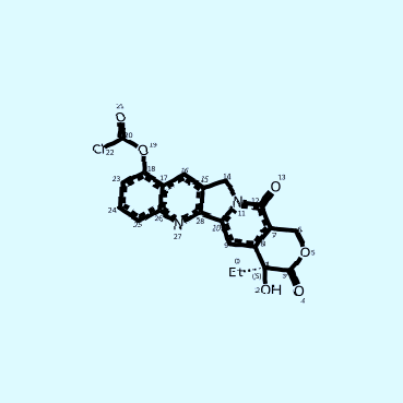 CC[C@@]1(O)C(=O)OCc2c1cc1n(c2=O)Cc2cc3c(OC(=O)Cl)cccc3nc2-1